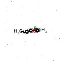 CC/C=C/C1CCC(C2C=CC(COc3ccc(C)cc3F)CC2)CC1